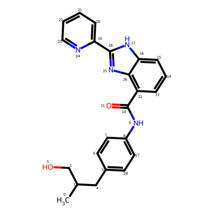 CC(CO)Cc1ccc(NC(=O)c2cccc3[nH]c(-c4ccccn4)nc23)cc1